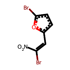 O=[N+]([O-])/C(Br)=C\c1ccc(Br)o1